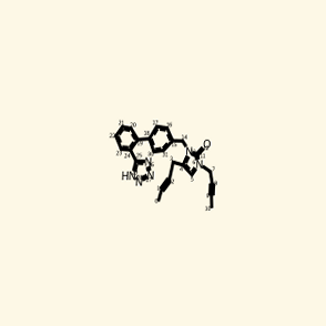 CC#CCc1cn(CC#CC)c(=O)n1Cc1ccc(-c2ccccc2-c2nnn[nH]2)cc1